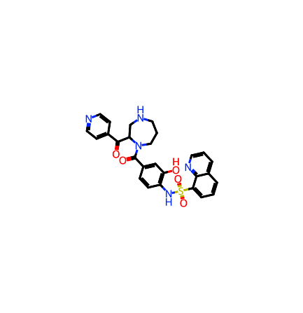 O=C(c1ccncc1)C1CNCCCN1C(=O)c1ccc(NS(=O)(=O)c2cccc3cccnc23)c(O)c1